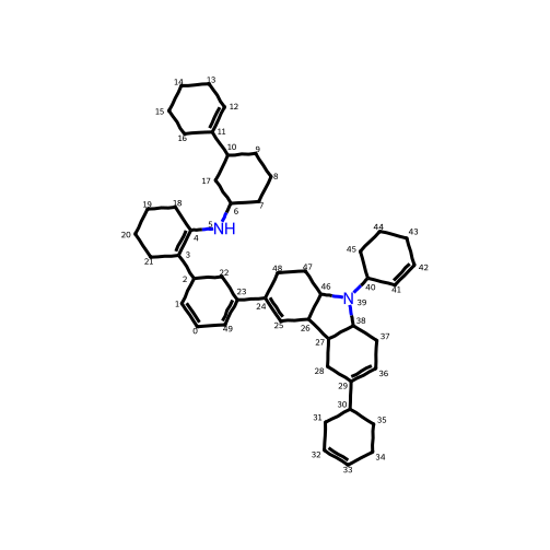 C1=CC(C2=C(NC3CCCC(C4=CCCCC4)C3)CCCC2)CC(C2=CC3C4CC(C5CC=CCC5)=CCC4N(C4C=CCCC4)C3CC2)=C1